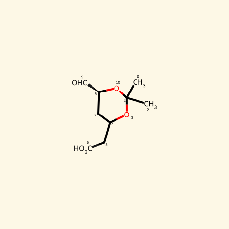 CC1(C)OC(CC(=O)O)C[C@@H](C=O)O1